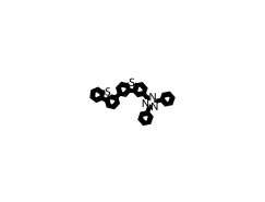 c1ccc(-c2nc(-c3ccccc3)nc(-c3ccc4sc5ccc(-c6cccc7c6sc6ccccc67)cc5c4c3)n2)cc1